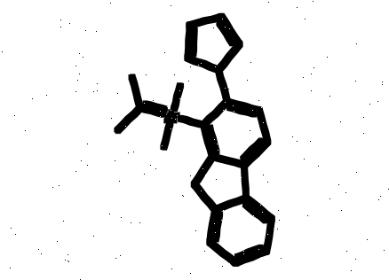 C[C](C)=[Zr]([CH3])([CH3])[c]1c(C2C=CC=C2)ccc2c1Cc1ccccc1-2